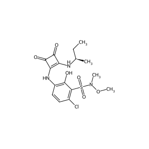 CC[C@@H](C)Nc1c(Nc2ccc(Cl)c(S(=O)(=O)N(C)OC)c2O)c(=O)c1=O